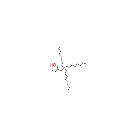 CCCCCCCCC(CCCCCCCC)(CCCCCCCC)CC(CC)CO